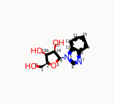 OC[C@@H]1O[C@@H](n2cnc3ccccc32)[C@H](O)[C@@H]1O